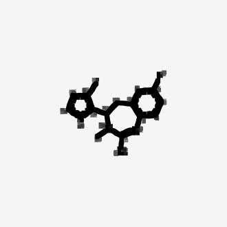 CCC1=Nc2ccc(F)cc2CC(c2sccc2C)N1C